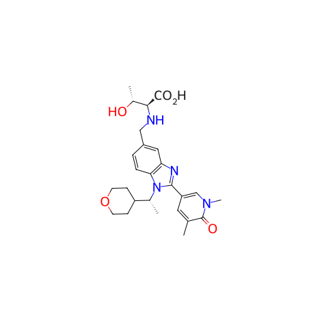 Cc1cc(-c2nc3cc(CN[C@H](C(=O)O)[C@@H](C)O)ccc3n2[C@H](C)C2CCOCC2)cn(C)c1=O